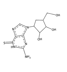 Nc1nc2c(ncn2C2CC(CO)C(O)C2O)c(=S)[nH]1